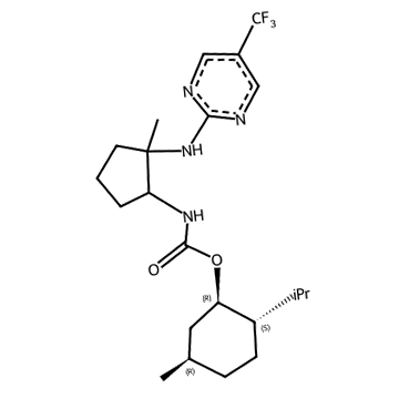 CC(C)[C@@H]1CC[C@@H](C)C[C@H]1OC(=O)NC1CCCC1(C)Nc1ncc(C(F)(F)F)cn1